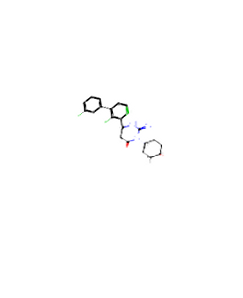 C[C@H]1C[C@@H](N2C(=N)N[C@](C)(c3cccc(-c4cccc(Cl)c4)c3Cl)CC2=O)CC[C@H]1O.Cl